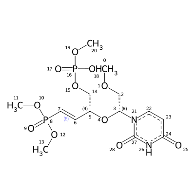 COC[C@@H](O[C@H](/C=C/P(=O)(OC)OC)COP(=O)(O)OC)n1ccc(=O)[nH]c1=O